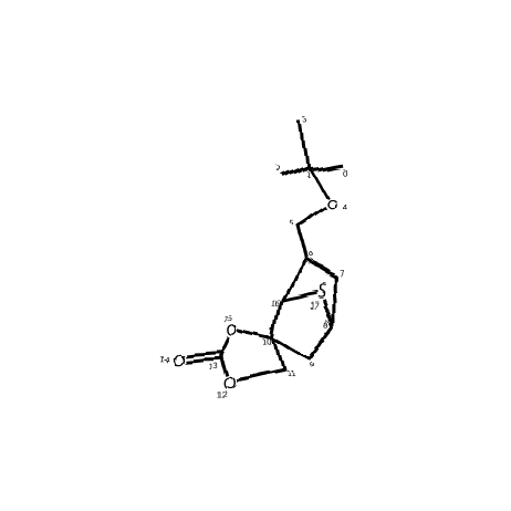 CC(C)(C)OCC1CC2CC3(COC(=O)O3)C1S2